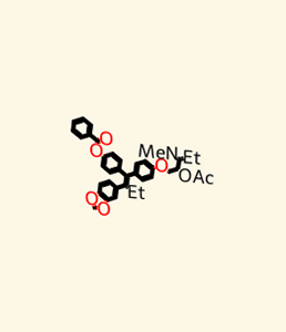 CCC(=C(c1ccc(OCC(OC(C)=O)C(CC)NC)cc1)c1ccc(OC(=O)c2ccccc2)cc1)c1ccc2c(c1)OCO2